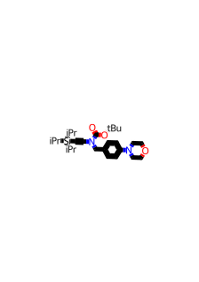 CC(C)[Si](C#CN(Cc1ccc(N2CCOCC2)cc1)C(=O)OC(C)(C)C)(C(C)C)C(C)C